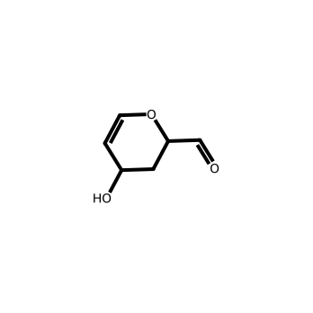 O=CC1CC(O)C=CO1